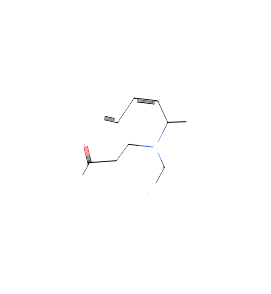 C=C/C=C\C(C)N(CC)CCC(C)=O